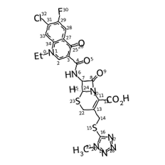 CCn1cc(C(=O)NC2C(=O)N3C(C(=O)O)=C(CSc4nnnn4C)CS[C@@H]23)c(=O)c2cc(F)c(Cl)cc21